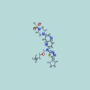 C[Si](C)(C)CCOCN(c1ccc2ncc(N3CCN(S(C)(=O)=O)CC3)cc2n1)c1nnc(C2CCCC2)s1